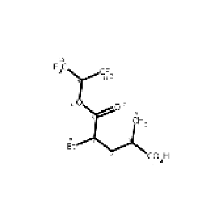 CCC(CC(C)C(=O)O)C(=O)OC(C(F)(F)F)C(F)(F)F